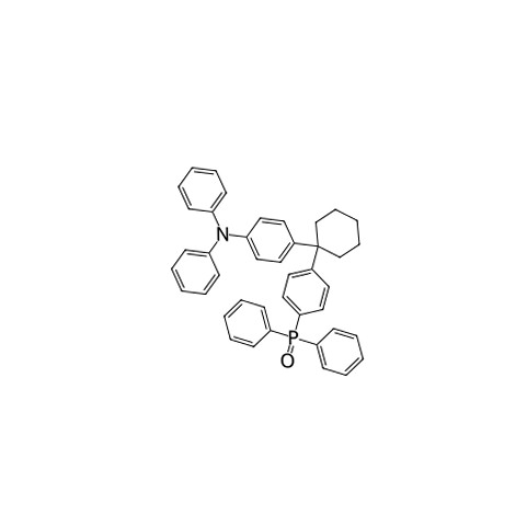 O=P(c1ccccc1)(c1ccccc1)c1ccc(C2(c3ccc(N(c4ccccc4)c4ccccc4)cc3)CCCCC2)cc1